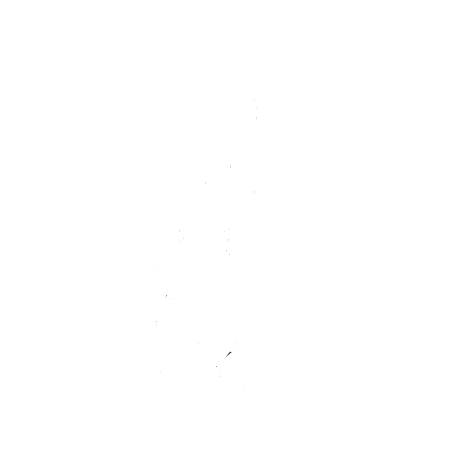 BC(=O)Oc1ccc2nc3c(cc2c1)Cn1c-3cc2c(c1=O)COC(=O)[C@]2(O)CC